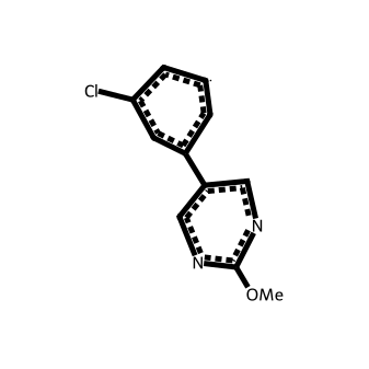 COc1ncc(-c2c[c]cc(Cl)c2)cn1